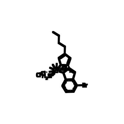 CCCCC1=C[CH]([Zr-6]([CH3])([CH3])([CH3])([CH3])(=[SiH2])(=[SiH2])[CH]2C=Cc3c(Br)cccc32)C=C1.[Cl-].[Cl-]